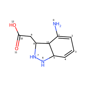 NC1=CC=CC2NNC(CC(=O)O)C12